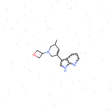 CC1C=C(c2c[nH]c3ncccc23)CN(C2COC2)C1